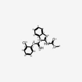 COC(=O)Nc1nc2ccccc2n1C(=N)Oc1ccccc1Cl